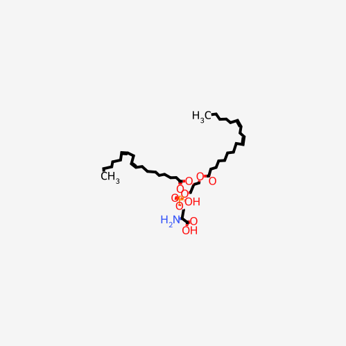 CCCCC/C=C\C/C=C\CCCCCCCC(=O)OCC(COP(=O)(O)OCC(N)C(=O)O)OC(=O)CCCCCCC/C=C\C/C=C\CCCCC